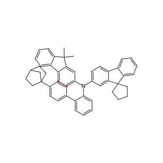 CC1(C)c2ccccc2-c2ccc(N(c3ccc4c(c3)C3(CCCC3)c3ccccc3-4)c3ccccc3-c3ccc(C45CCC(CC4)C5)cc3)cc21